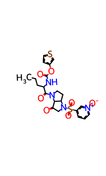 CCCC(NC(=O)Oc1ccsc1)C(=O)N1CCC2C1C(=O)CN2S(=O)(=O)c1ccc[n+]([O-])c1